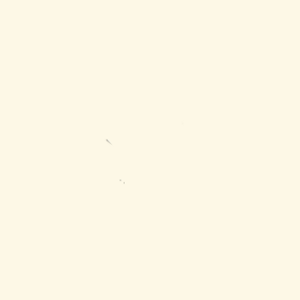 CN1CCc2cc(Cl)c(O)cc2[C@H](C2=CCCCC2)C1